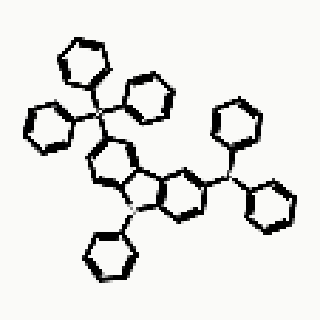 c1ccc(-n2c3ccc(P(c4ccccc4)c4ccccc4)cc3c3cc(S(c4ccccc4)(c4ccccc4)c4ccccc4)ccc32)cc1